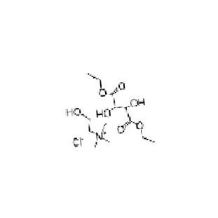 CCOC(=O)C(O)C(O)C(=O)OCC.C[N+](C)(C)CCO.[Cl-]